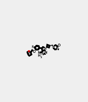 CN1CCN(C[C@H]2C[C@@H](n3cc(-c4ccc(F)c(OCC56CCC(CC5)O6)c4)c4c(N)ncnc43)C2)CC1=O